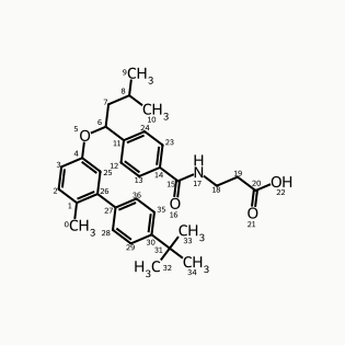 Cc1ccc(OC(CC(C)C)c2ccc(C(=O)NCCC(=O)O)cc2)cc1-c1ccc(C(C)(C)C)cc1